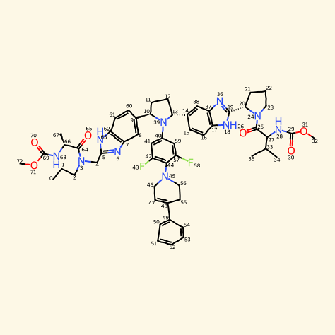 CCCN(Cc1nc2cc([C@H]3CC[C@H](c4ccc5[nH]c([C@@H]6CCCN6C(=O)C(NC(=O)OC)C(C)C)nc5c4)N3c3cc(F)c(N4CC=C(c5ccccc5)CC4)c(F)c3)ccc2[nH]1)C(=O)[C@H](C)NC(=O)OC